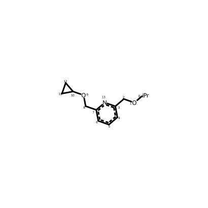 CC(C)OCc1cccc(COC2CC2)n1